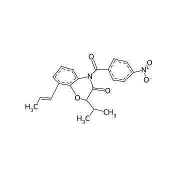 CC=Cc1cccc2c1OC(C(C)C)C(=O)N2C(=O)c1ccc([N+](=O)[O-])cc1